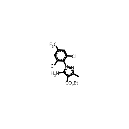 CCOC(=O)c1c(C)nn(-c2c(Cl)cc(C(F)(F)F)cc2Cl)c1N